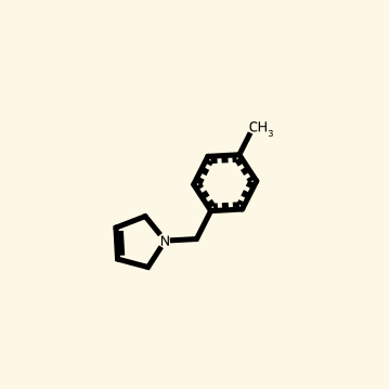 Cc1ccc(CN2CC=CC2)cc1